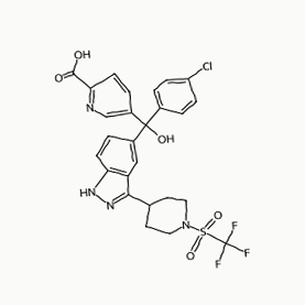 O=C(O)c1ccc(C(O)(c2ccc(Cl)cc2)c2ccc3[nH]nc(C4CCN(S(=O)(=O)C(F)(F)F)CC4)c3c2)cn1